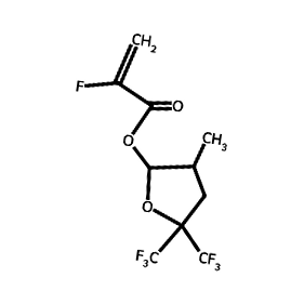 C=C(F)C(=O)OC1OC(C(F)(F)F)(C(F)(F)F)CC1C